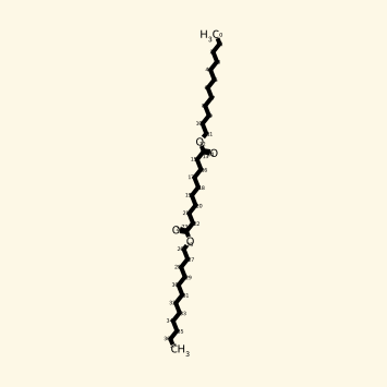 CCCCCCCCCCCCOC(=O)CCCCCCCCC(=O)OCCCCCCCCCCCC